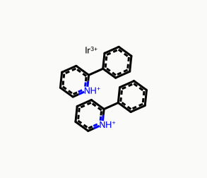 [Ir+3].c1ccc(-c2cccc[nH+]2)cc1.c1ccc(-c2cccc[nH+]2)cc1